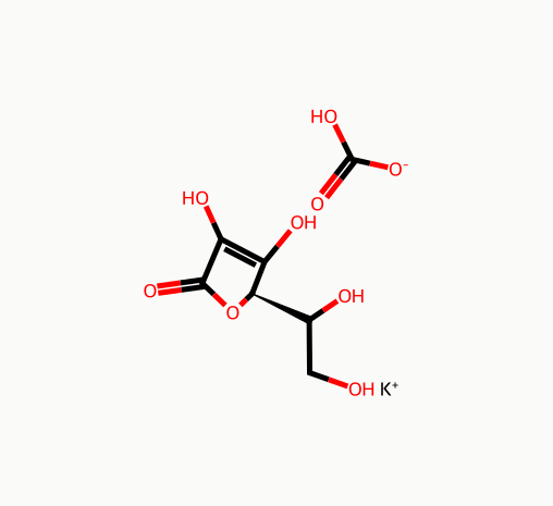 O=C([O-])O.O=C1O[C@H](C(O)CO)C(O)=C1O.[K+]